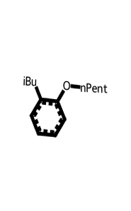 CCCCCOc1ccccc1C(C)CC